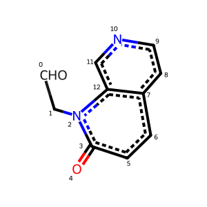 O=CCn1c(=O)ccc2ccncc21